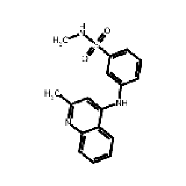 CNS(=O)(=O)c1cccc(Nc2cc(C)nc3ccccc23)c1